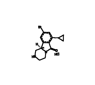 CCc1cc(C2CC2)c2c(c1)[C@@H]1CNCCN1C2=O.Cl